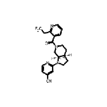 N#Cc1ccnc(N2CC[C@@H]3CCN(C(=O)c4cccnc4CC(F)(F)F)C[C@@H]32)c1